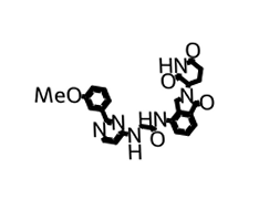 COc1cccc(-c2nccc(NCC(=O)Nc3cccc4c3CN(C3CCC(=O)NC3=O)C4=O)n2)c1